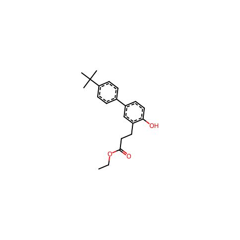 CCOC(=O)CCc1cc(-c2ccc(C(C)(C)C)cc2)ccc1O